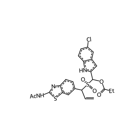 C=CC(c1ccc2nc(NC(C)=O)sc2c1)S(=O)(=O)C(OC(=O)CC)c1cc2cc(Cl)ccc2[nH]1